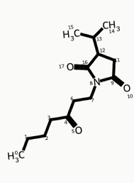 CCCCC(=O)CCN1C(=O)CC(C(C)C)C1=O